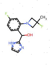 CC1(F)CN(c2cc(F)ccc2C(O)c2ncc[nH]2)C1